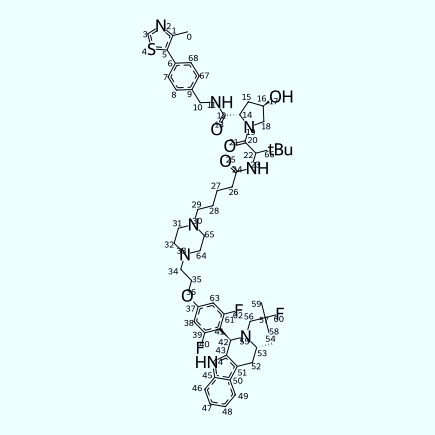 Cc1ncsc1-c1ccc(CNC(=O)[C@@H]2C[C@@H](O)CN2C(=O)C(NC(=O)CCCCN2CCN(CCOc3cc(F)c([C@@H]4c5[nH]c6ccccc6c5C[C@@H](C)N4CC(C)(C)F)c(F)c3)CC2)C(C)(C)C)cc1